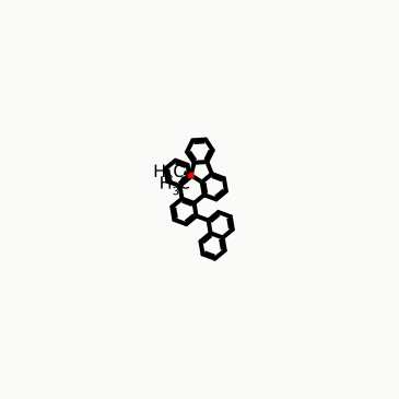 CC1(C)c2ccccc2-c2cccc(-c3c(-c4ccccc4)cccc3-c3cccc4ccccc34)c21